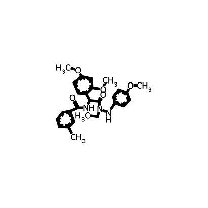 CCN(Nc1ccc(OC)cc1)C(=O)C(NC(=O)c1cccc(C)c1)c1ccc(OC)cc1OC